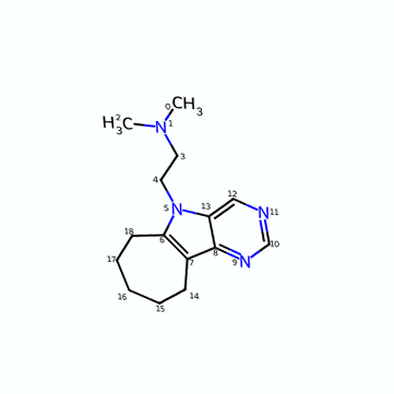 CN(C)CCn1c2c(c3ncncc31)CCCCC2